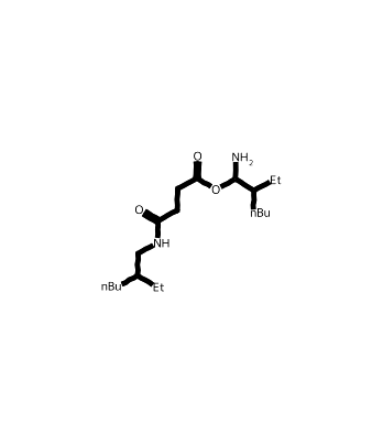 CCCCC(CC)CNC(=O)CCC(=O)OC(N)C(CC)CCCC